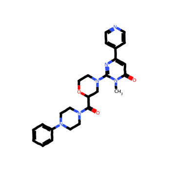 Cn1c(N2CCOC(C(=O)N3CCN(c4ccccc4)CC3)C2)nc(-c2ccncc2)cc1=O